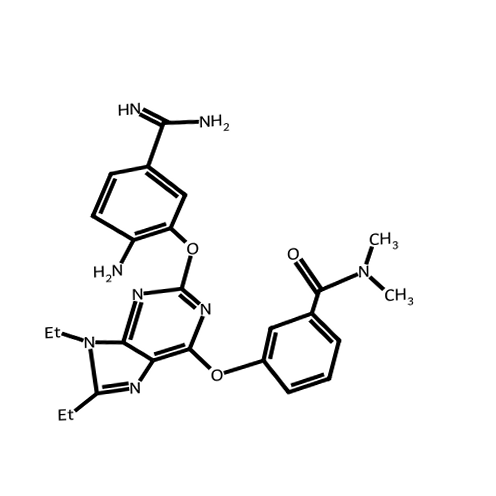 CCc1nc2c(Oc3cccc(C(=O)N(C)C)c3)nc(Oc3cc(C(=N)N)ccc3N)nc2n1CC